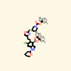 CC(C)(C)OC(=O)N1CCC[C@H](Cc2nc(CCc3c(Cl)cc4c(cnn4C4CCCCO4)c3B3OC(C)(C)C(C)(C)O3)co2)C1